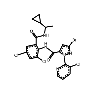 CC(NC(=O)c1cc(Cl)cc(Cl)c1NC(=O)c1cc(Br)nn1-c1ncccc1Cl)C1CC1